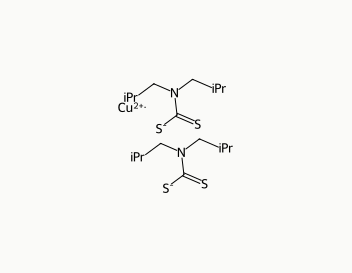 CC(C)CN(CC(C)C)C(=S)[S-].CC(C)CN(CC(C)C)C(=S)[S-].[Cu+2]